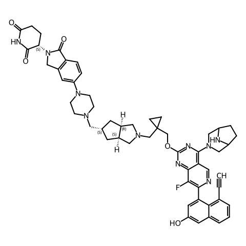 C#Cc1cccc2cc(O)cc(-c3ncc4c(N5CC6CCC(C5)N6)nc(OCC5(CN6C[C@H]7C[C@H](CN8CCN(c9ccc%10c(c9)CN([C@H]9CCC(=O)NC9=O)C%10=O)CC8)C[C@H]7C6)CC5)nc4c3F)c12